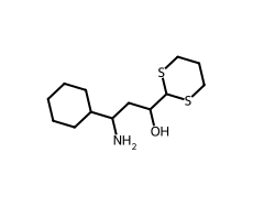 NC(CC(O)C1SCCCS1)C1CCCCC1